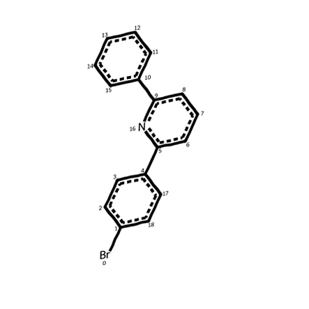 Brc1ccc(-c2cccc(-c3ccccc3)n2)cc1